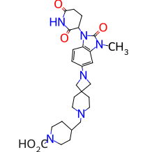 Cn1c(=O)n(C2CCC(=O)NC2=O)c2ccc(N3CC4(CCN(CC5CCN(C(=O)O)CC5)CC4)C3)cc21